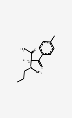 CCCN(N)[C@@](C)(C(N)=O)C(=O)c1ccc(C)cc1